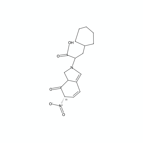 O=C(O)C(CC1CCCCC1)N1C=C2C=C[C@H]([N+](=O)[O-])C(=O)C2C1